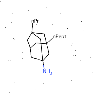 CCCCCC12CC3CC(N)(CC(CCC)(C3)C1)C2